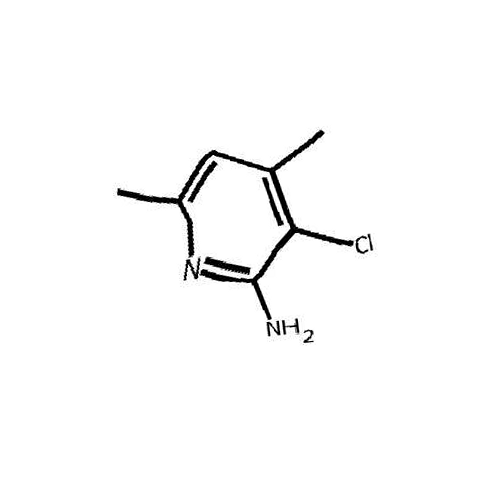 Cc1cc(C)c(Cl)c(N)n1